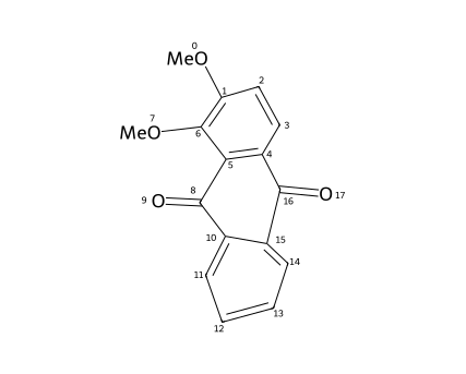 COc1ccc2c(c1OC)C(=O)c1ccccc1C2=O